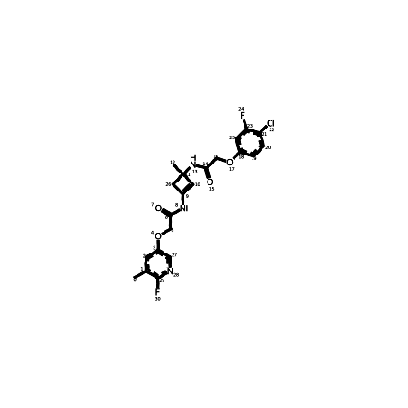 Cc1cc(OCC(=O)NC2=CC(C)(NC(=O)COc3ccc(Cl)c(F)c3)C2)cnc1F